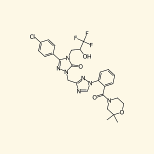 CC1(C)CN(C(=O)c2ccccc2-n2cnc(Cn3nc(-c4ccc(Cl)cc4)n(CC(O)C(F)(F)F)c3=O)n2)CCO1